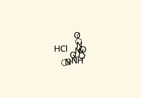 COC1CCN(c2nc3c(C(=O)NC4CC5CCCC(C4)N5C)cccc3o2)CC1.Cl